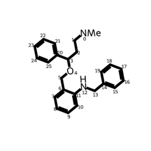 CNCCC(OCc1ccccc1NCc1ccccc1)c1ccccc1